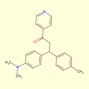 Cc1ccc(C(CC(=O)c2ccncc2)c2ccc(N(C)C)cc2)cc1